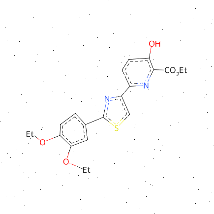 CCOC(=O)c1nc(-c2csc(-c3ccc(OCC)c(OCC)c3)n2)ccc1O